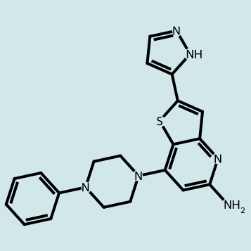 Nc1cc(N2CCN(c3ccccc3)CC2)c2sc(-c3ccn[nH]3)cc2n1